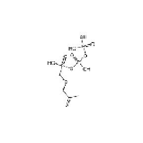 C=C(C)COCP(=O)(O)OP(=O)(O)OP(=O)(O)O